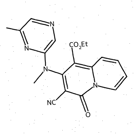 CCOC(=O)c1c(N(C)c2cncc(C)n2)c(C#N)c(=O)n2ccccc12